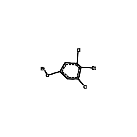 CCOc1cc(Cl)c(CC)c(Cl)c1